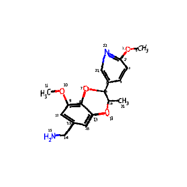 COc1ccc(C2Oc3c(OC)cc(CN)cc3OC2C)cn1